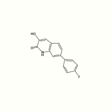 O=c1[nH]c2cc(-c3ccc(F)cc3)ccc2cc1O